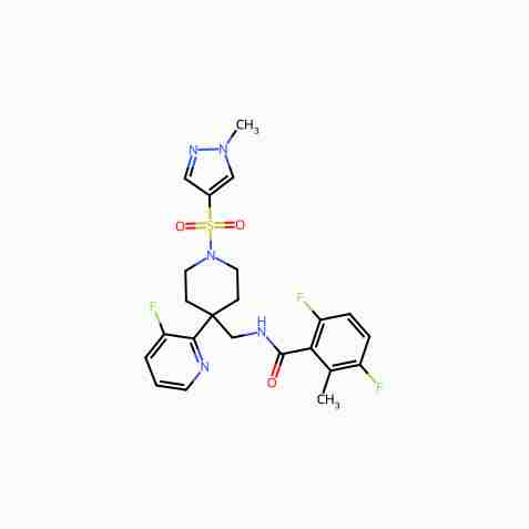 Cc1c(F)ccc(F)c1C(=O)NCC1(c2ncccc2F)CCN(S(=O)(=O)c2cnn(C)c2)CC1